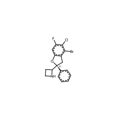 Fc1cc2c(c(Br)c1Cl)C[C@](c1ccccc1)(C1CCN1)O2